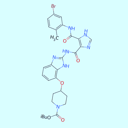 Cc1ccc(Br)cc1NC(=O)c1[nH]cnc1C(=O)Nc1nc2cccc(OC3CCN(C(=O)OCC(C)C)CC3)c2[nH]1